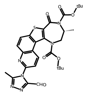 Cc1nnc(C=O)n1-c1ccc2c(ccc3sc4c(c32)N(C(=O)OC(C)(C)C)C[C@@H](C)N(C(=O)OC(C)(C)C)C4=O)n1